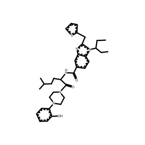 CCC(CC)n1c(Cc2cccs2)nc2cc(C(=O)NC(CCC(C)C)C(=O)N3CCN(c4ccccc4O)CC3)ccc21